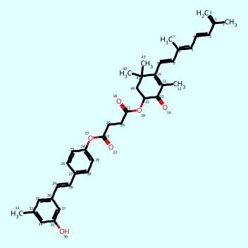 C=C(C)/C=C/C=C(C)/C=C/C1=C(C)C(=O)C(OC(=O)CCC(=O)Oc2ccc(/C=C/c3cc(C)cc(O)c3)cc2)CC1(C)C